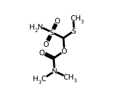 CSC(OC(=O)N(C)C)S(N)(=O)=O